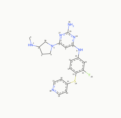 CNC1CCN(c2cc(Nc3ccc(Sc4ccncc4)c(F)c3)nc(N)n2)C1